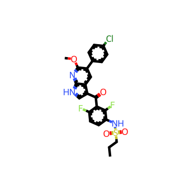 CCCS(=O)(=O)Nc1ccc(F)c(C(=O)c2c[nH]c3nc(OC)c(-c4ccc(Cl)cc4)cc23)c1F